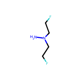 NN(CCF)CCF